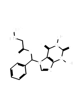 Cn1c(=O)c2c(ncn2C(OC(=O)CNC=O)c2ccccc2)n(C)c1=O